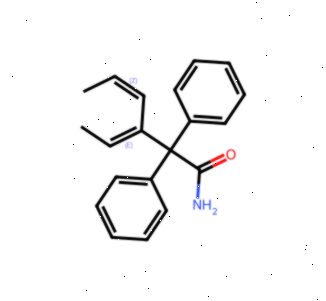 C/C=C\C(=C/C)C(C(N)=O)(c1ccccc1)c1ccccc1